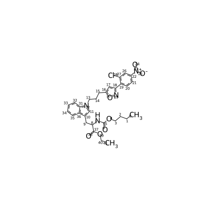 CCCCOC(=O)NC(Cc1cn(CCCc2cc(-c3ccc([N+](=O)[O-])cc3Cl)no2)c2ccccc12)C(=O)OCC